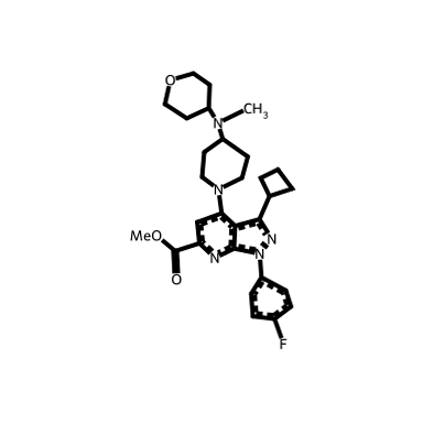 COC(=O)c1cc(N2CCC(N(C)C3CCOCC3)CC2)c2c(C3CCC3)nn(-c3ccc(F)cc3)c2n1